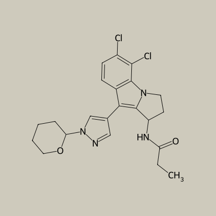 CCC(=O)NC1CCn2c1c(-c1cnn(C3CCCCO3)c1)c1ccc(Cl)c(Cl)c12